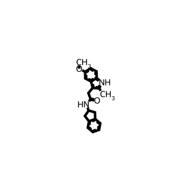 COc1ccc2[nH]c(C)c(CC(=O)NC3Cc4ccccc4C3)c2c1